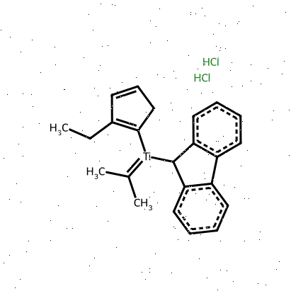 CCC1=[C]([Ti](=[C](C)C)[CH]2c3ccccc3-c3ccccc32)CC=C1.Cl.Cl